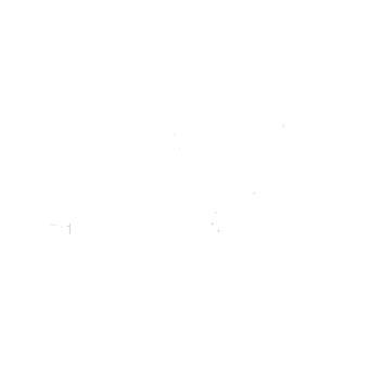 CCCCCCCCCC(=O)Nc1cc[c]cc1